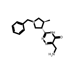 C[C@@H]1CN(Cc2ccccc2)C[C@H]1c1nnc(CN)c(=O)[nH]1